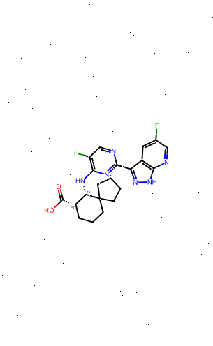 O=C(O)[C@H]1CCCC2(CCCC2)[C@H]1Nc1nc(-c2n[nH]c3ncc(F)cc23)ncc1F